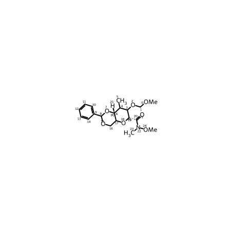 COCOC1C(C)[C@H]2OC(c3ccccc3)OCC2O[C@H]1C(=O)N(C)OC